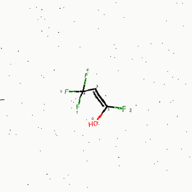 O/C(F)=C\C(F)(F)F